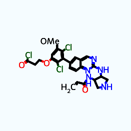 C=CC(=O)NC1CNCC1Nc1ncc2cc(-c3c(Cl)c(OC)cc(OCCC(=O)Cl)c3Cl)ccc2n1